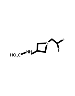 O=C(O)NCC1CN(CC(F)F)C1